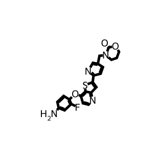 Nc1ccc(Oc2ccnc3cc(-c4ccc(CN5CCCOC5=O)cn4)sc23)c(F)c1